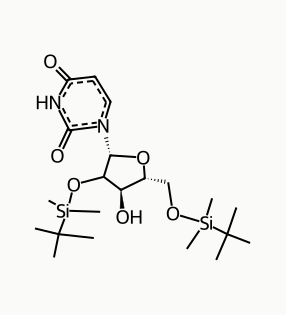 CC(C)(C)[Si](C)(C)OC[C@H]1O[C@@H](n2ccc(=O)[nH]c2=O)C(O[Si](C)(C)C(C)(C)C)[C@@H]1O